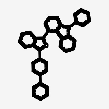 c1ccc(-c2ccc(-c3oc(-c4cccc5c4c4ccccc4n5-c4ccccc4)c4ccccc34)cc2)cc1